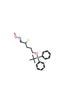 CON=CC(F)CCCO[Si](c1ccccc1)(c1ccccc1)C(C)(C)C